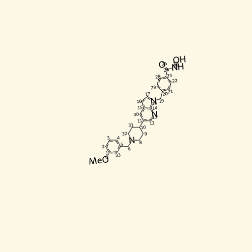 COc1cccc(CN2CCC(c3cnc4c(ccn4Cc4ccc(C(=O)NO)cc4)c3)CC2)c1